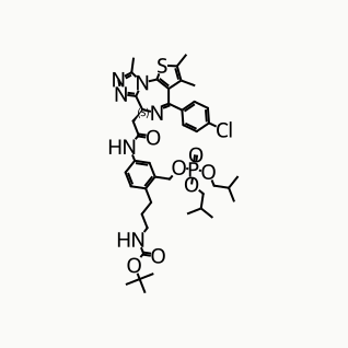 Cc1sc2c(c1C)C(c1ccc(Cl)cc1)=N[C@@H](CC(=O)Nc1ccc(CCCNC(=O)OC(C)(C)C)c(COP(=O)(OCC(C)C)OCC(C)C)c1)c1nnc(C)n1-2